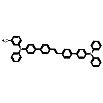 Cc1cccc(N(c2ccccc2)c2ccc(-c3ccc(/C=C/c4ccc(-c5ccc(N(c6ccccc6)c6ccccc6)cc5)cc4)cc3)cc2)c1